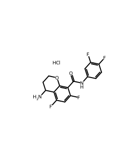 Cl.NC1CCOc2c(C(=O)Nc3ccc(F)c(F)c3)c(F)cc(F)c21